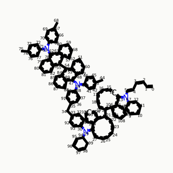 C=C/C=C\C=C\N(c1ccccc1)c1ccccccc(-c2ccccccc(N(c3ccc(Cc4ccc(N(c5ccc(C)cc5)c5c6ccccc6c(-c6c7ccccc7c(N(c7ccc(C)cc7)c7ccc(C)cc7)c7ccccc67)c6ccccc56)cc4)cc3)C3C=CC=CC3)c3ccccc23)c2ccccc12